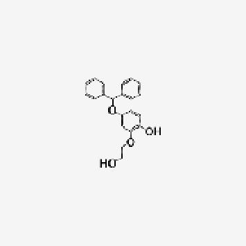 OCCOc1cc(OC(c2ccccc2)c2ccccc2)ccc1O